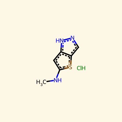 CNc1cc2[nH]ncc2s1.Cl